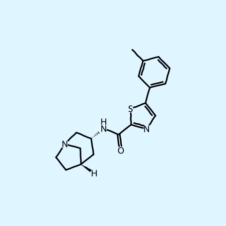 Cc1cccc(-c2cnc(C(=O)N[C@@H]3C[C@@H]4CCN(C4)C3)s2)c1